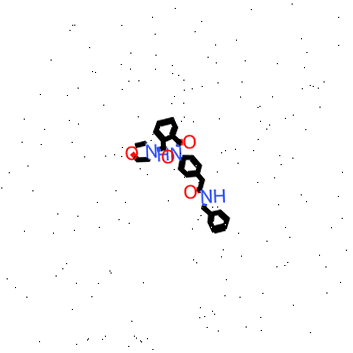 O=C(Cc1ccc(NC(=O)c2ccccc2C(=O)N2CCOCC2)cc1)NCc1cc#ccc1